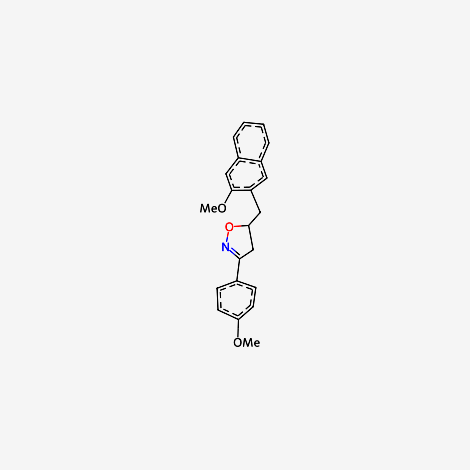 COc1ccc(C2=NOC(Cc3cc4ccccc4cc3OC)C2)cc1